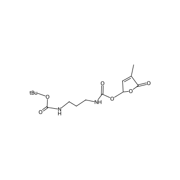 CC1=CC(OC(=O)NCCCNC(=O)OC(C)(C)C)OC1=O